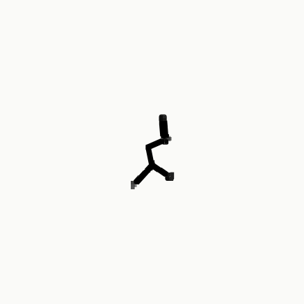 O=[S+]CC(F)Cl